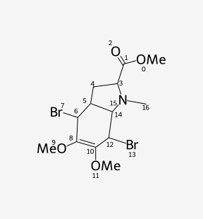 COC(=O)C1CC2C(Br)C(OC)=C(OC)C(Br)C2N1C